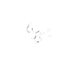 CC(C)n1cc(-c2cc(O)cc(Br)c2)c2c(Cl)ncnc21